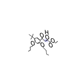 CCCCOc1cc(OCCCC)c(C(C)(C)C)cc1C(=O)/C=C(\O)C(=O)OCC